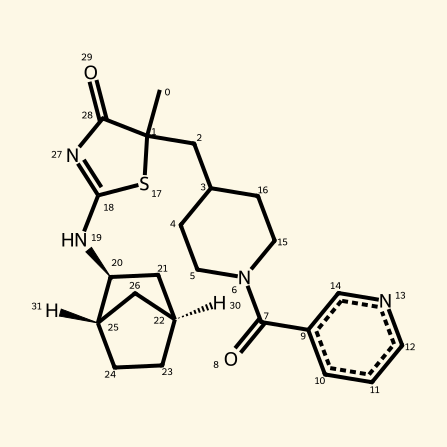 CC1(CC2CCN(C(=O)c3cccnc3)CC2)SC(N[C@H]2C[C@H]3CC[C@H]2C3)=NC1=O